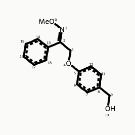 CO/N=C(/COc1ccc(CO)cc1)c1ccccc1